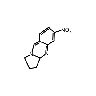 O=[N+]([O-])c1ccc2c(c1)=NC1CCCN1C=2